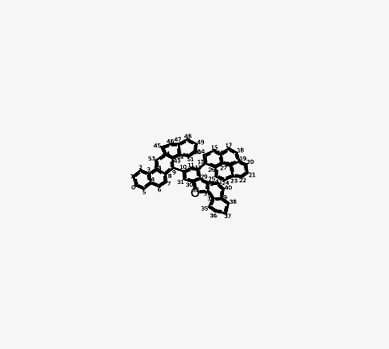 c1ccc2c(c1)ccc1c(-c3cc(-c4ccc5ccc6cccc7ccc4c5c67)c4c(c3)oc3c5ccccc5ccc34)c3c(ccc4ccccc43)cc12